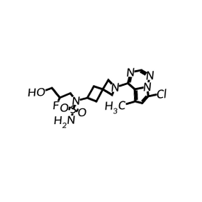 Cc1cc(Cl)n2ncnc(N3CC4(CC(N(CC(F)CO)S(N)(=O)=O)C4)C3)c12